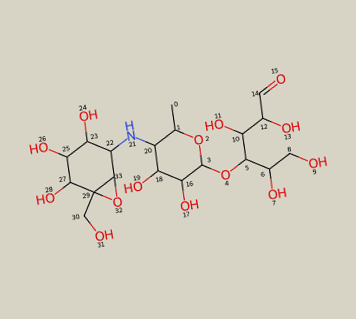 CC1OC(OC(C(O)CO)C(O)C(O)C=O)C(O)C(O)C1NC1C(O)C(O)C(O)C2(CO)OC12